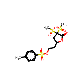 Cc1ccc(S(=O)(=O)OCCC2CC(S(C)(=O)=O)(S(C)(=O)=O)C(=O)O2)cc1